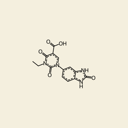 CCn1c(=O)c(C(=O)O)cn(-c2ccc3[nH]c(=O)[nH]c3c2)c1=O